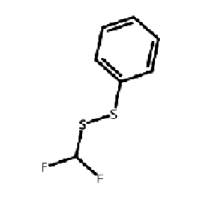 FC(F)SSc1ccccc1